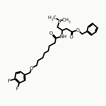 CN(C)CC(CC(=O)OCc1ccccc1)NC(=O)CCCCCCCOCc1ccc(F)c(F)c1